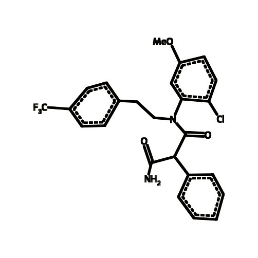 COc1ccc(Cl)c(N(CCc2ccc(C(F)(F)F)cc2)C(=O)C(C(N)=O)c2ccccc2)c1